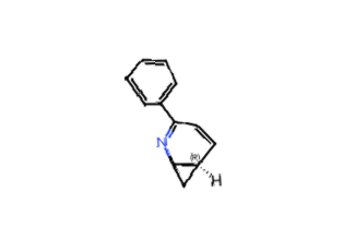 C1=C[C@H]2CC2N=C1c1ccccc1